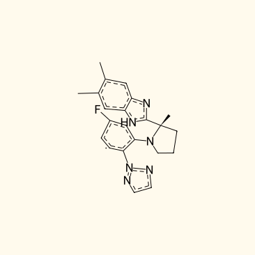 Cc1cc2nc([C@]3(C)CCCN3c3cc(F)c[c]c3-n3nccn3)[nH]c2cc1C